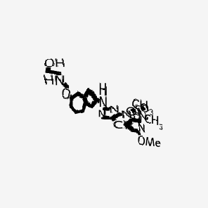 COc1ccc(Nc2nc(Nc3ccc4c(c3)CCCC(OCNCCO)C4)ncc2Cl)c(N(C)S(C)(=O)=O)n1